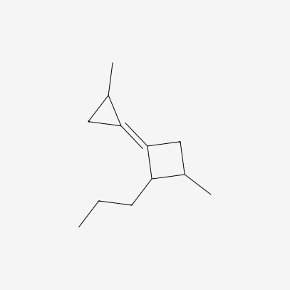 CCCC1C(=C2CC2C)CC1C